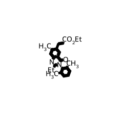 CCOC(=O)/C=C/c1cc2c(=O)n(-c3c(C)cccc3C)c(CC)nc2cc1C